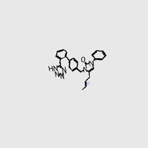 C/C=C/Cc1cn(-c2ccccc2)c(=O)n1Cc1ccc(-c2ccccc2-c2nnn[nH]2)cc1